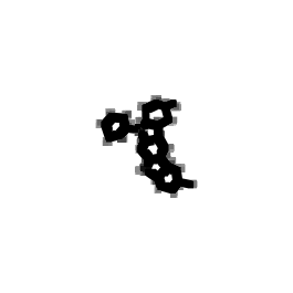 Cc1ccc2sc3cc4c(cc3c2c1)c1c(n4-c2ccccc2)C=CC(C)C1